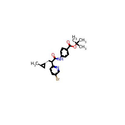 C[C@@H]1C[C@H]1CC(C(=O)Nc1ccc(C(=O)OC(C)(C)C)cc1)c1ccc(Br)cn1